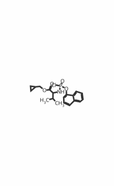 CC(C)C(NP(=O)(Cl)Oc1cccc2ccccc12)C(=O)OCC1CC1